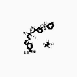 CC(C)(CCn1ccc2cc(C(=N)N)ccc21)NCC(O)c1cccc(NS(=O)(=O)c2ccccc2)c1.O=C(O)C(F)(F)F